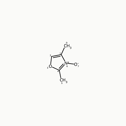 Cc1coc(C)[n+]1[O-]